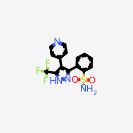 NS(=O)(=O)c1ccccc1-c1n[nH]c(C(F)(F)F)c1-c1ccncc1